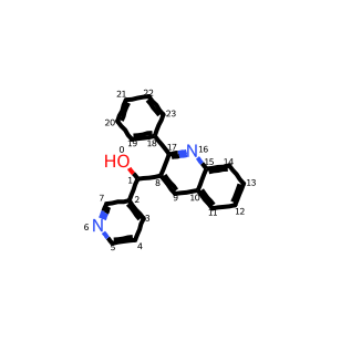 OC(c1cccnc1)c1cc2ccccc2nc1-c1ccccc1